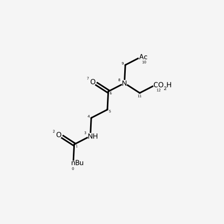 CCCCC(=O)NCCC(=O)N(CC(C)=O)CC(=O)O